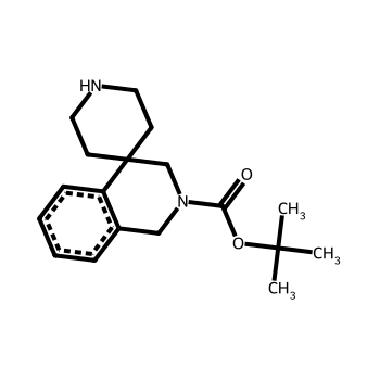 CC(C)(C)OC(=O)N1Cc2ccccc2C2(CCNCC2)C1